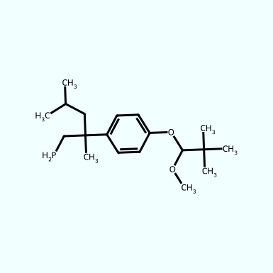 COC(Oc1ccc(C(C)(CP)CC(C)C)cc1)C(C)(C)C